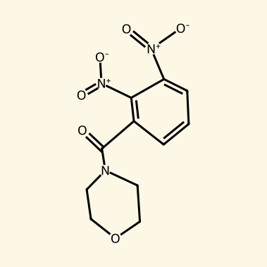 O=C(c1cccc([N+](=O)[O-])c1[N+](=O)[O-])N1CCOCC1